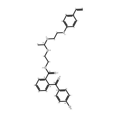 C=Cc1ccc(OCCOC(C)OCCOC(=O)c2ccccc2C(=O)c2ccc(Cl)cc2)cc1